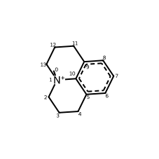 C[N+]12CCCc3cccc(c31)CCC2